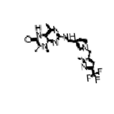 Cc1nc(NCc2ccn(Cc3cc(C(F)(F)F)nn3C)c2)nc2c1NC(=O)[C@H](C)N2C